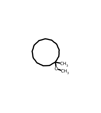 COC1(C)CCCCCCCCCCCC1